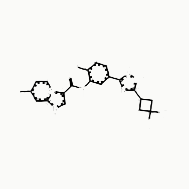 Cc1ccn2c(C(=O)Nc3cc(-c4noc(C5CC(O)(C(F)(F)F)C5)n4)ccc3C)cnc2c1